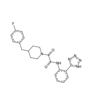 O=C(Nc1ccccc1-c1nnn[nH]1)C(=O)N1CCC(Cc2ccc(F)cc2)CC1